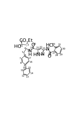 CCOC(=O)[C@H](O)C[C@@H](Cc1ccc(-c2ccccc2)cc1)NC(=O)c1cc(NC(=O)c2ccccc2Cl)n[nH]1